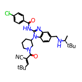 C[C@H](NCc1ccc2c(c1)nc(NC(=O)c1ccc(Cl)cc1)n2C1CCCN(C(=O)/C(C#N)=C/C(C)(C)C)C1)C(C)(C)C